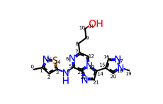 Cc1cc(Nc2nc(CCCO)cn3c(-c4cnn(C)c4)cnc23)sn1